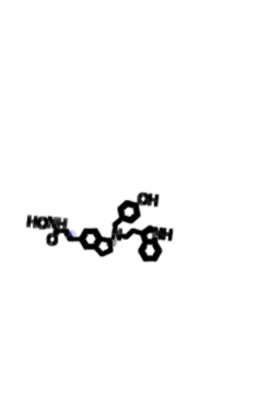 O=C(/C=C/c1ccc2c(c1)CC[C@H]2N(CCc1c[nH]c2ccccc12)Cc1ccc(O)cc1)NO